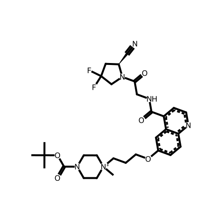 CC(C)(C)OC(=O)N1CC[N+](C)(CCCOc2ccc3nccc(C(=O)NCC(=O)N4CC(F)(F)C[C@H]4C#N)c3c2)CC1